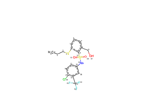 CCCSc1cccc(CO)c1S(=O)(=O)Nc1ccc(Cl)c(C(F)(F)F)c1